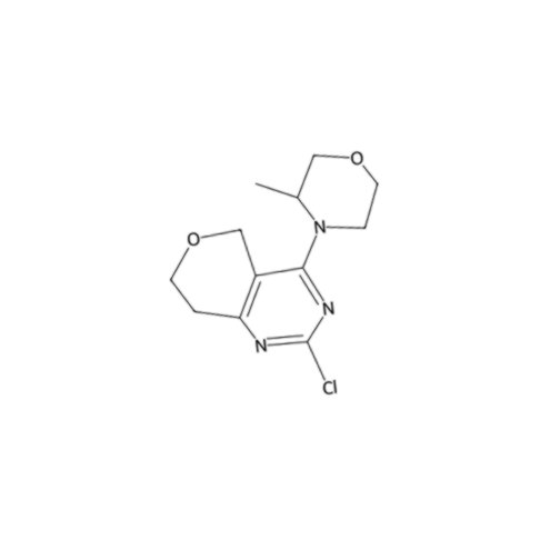 CC1COCCN1c1nc(Cl)nc2c1COCC2